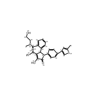 Cc1cc(-c2ccc(N3C(=O)C(O)=C(C(=O)C(C)C)C3c3ccccc3C(=O)N(C)CCO)cc2)cs1